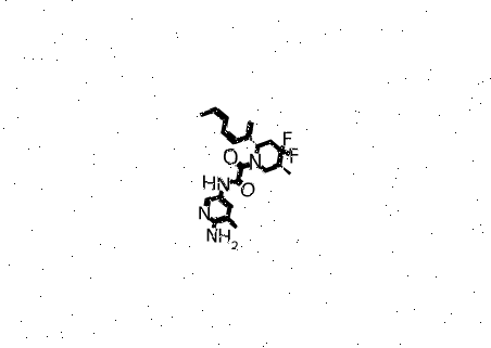 C=C(/C=C\C=C/C)[C@@H]1CC(F)(F)[C@@H](C)CN1C(=O)C(=O)Nc1cnc(N)c(C)c1